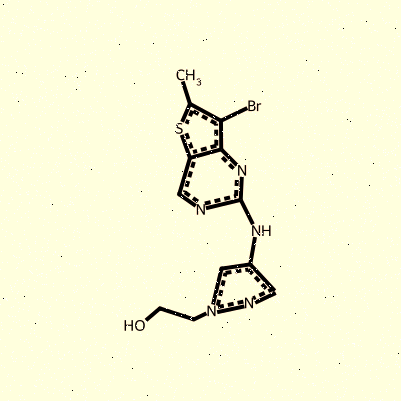 Cc1sc2cnc(Nc3cnn(CCO)c3)nc2c1Br